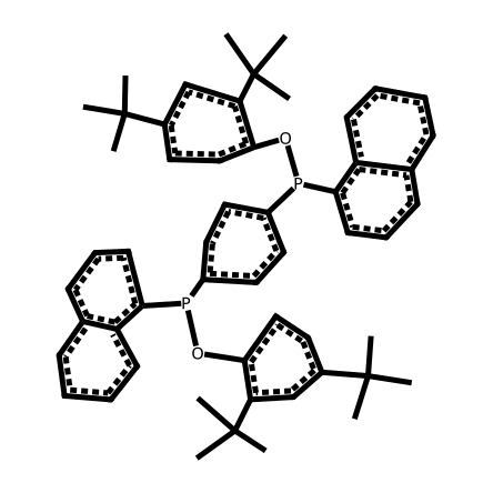 CC(C)(C)c1ccc(OP(c2ccc(P(Oc3ccc(C(C)(C)C)cc3C(C)(C)C)c3cccc4ccccc34)cc2)c2cccc3ccccc23)c(C(C)(C)C)c1